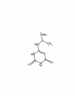 COC(C)Nc1cc(=O)[nH]c(=O)[nH]1